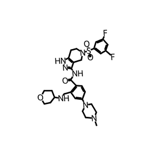 CN1CCN(c2ccc(C(=O)Nc3n[nH]c4c3CN(S(=O)(=O)c3cc(F)cc(F)c3)CC4)c(CNC3CCOCC3)c2)CC1